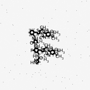 COc1cc2nc(C)nc(NC(C)c3ccc(-c4ccc(F)cc4CNC(=O)c4cc[nH]n4)s3)c2cc1OC.COc1cc2nc(C)nc(NC(C)c3ccc(-c4ccccc4CN[C@H]4CCN(C)C4=O)s3)c2cc1OC